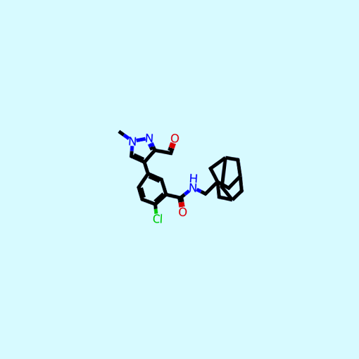 Cn1cc(-c2ccc(Cl)c(C(=O)NCC34CC5CC(CC(C5)C3)C4)c2)c(C=O)n1